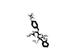 CC(C)(C)OC(=O)N[C@@H](Cc1ccc(OS(=O)(=O)C(F)(F)F)cc1)[C@H](C[C@@H](Cc1ccccc1F)C(=O)O)O[Si](C)(C)C(C)(C)C